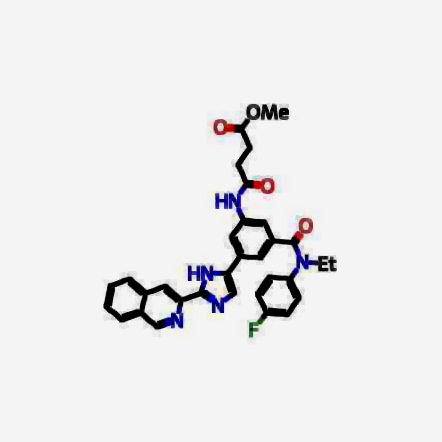 CCN(C(=O)c1cc(NC(=O)CCC(=O)OC)cc(-c2cnc(-c3cc4ccccc4cn3)[nH]2)c1)c1ccc(F)cc1